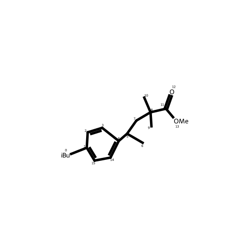 CCC(C)c1ccc(C(C)CC(C)(C)C(=O)OC)cc1